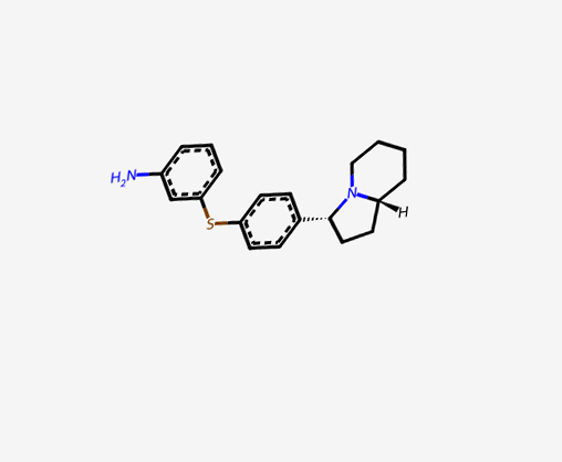 Nc1cccc(Sc2ccc([C@H]3CC[C@H]4CCCCN43)cc2)c1